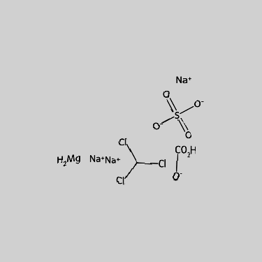 ClC(Cl)Cl.O=C([O-])O.O=S(=O)([O-])[O-].[MgH2].[Na+].[Na+].[Na+]